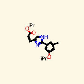 Cc1cc(OC(C)C)cc(-c2nc(/C=C\C(=O)OC(C)C)c[nH]2)c1